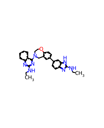 CCNc1nc(N2CCOc3ccc(-c4ccc5nc(NCC)[nH]c5c4)cc3C2)c2ccccc2n1